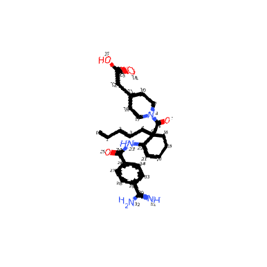 CCCCCC1(C(=O)N2CCC(CC(=O)O)CC2)CCCCC1NC(=O)c1ccc(C(=N)N)cc1